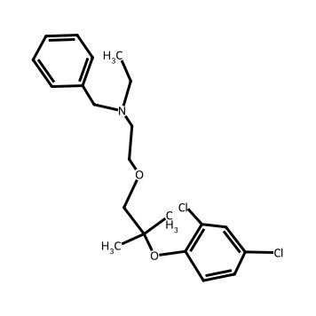 CCN(CCOCC(C)(C)Oc1ccc(Cl)cc1Cl)Cc1ccccc1